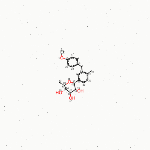 CCOc1ccc(Cc2cc([C@@H]3O[C@H](C)[C@@H](O)[C@H](O)C3O)ccc2C)cc1